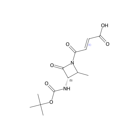 CC1[C@H](NC(=O)OC(C)(C)C)C(=O)N1C(=O)/C=C/C(=O)O